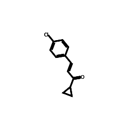 O=C(C=Cc1ccc(Cl)cc1)C1CC1